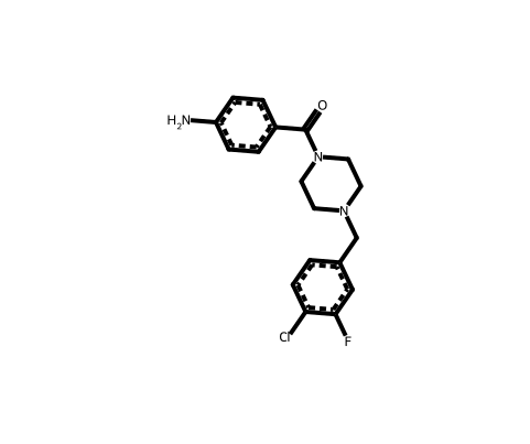 Nc1ccc(C(=O)N2CCN(Cc3ccc(Cl)c(F)c3)CC2)cc1